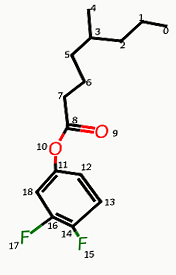 CCCC(C)CCCC(=O)Oc1ccc(F)c(F)c1